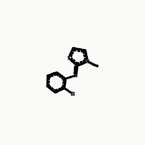 CCc1ccccc1N=c1sccn1C